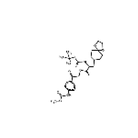 COC(=O)Nc1ccc(C(=O)COC(=O)C(CC2CCC3(CC2)OCCO3)NC(=O)OC(C)(C)C)cc1